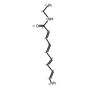 CCC/C=C/C=C/C=C/C=C/C(=O)NCC(C)C